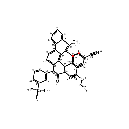 CCOC(=O)c1nccc(-c2c(C)c3ccccc3c3ccc4c(c23)C(c2ccc(C#N)cc2)C(C)C(=O)C4c2cccc(C(F)(F)F)c2)n1